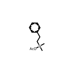 CC(=O)O[Si](C)(C)CCc1ccccc1